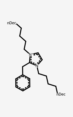 CCCCCCCCCCCCCCn1cc[n+](CCCCCCCCCCCCCC)c1Cc1ccccc1